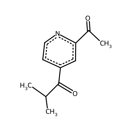 CC(=O)c1cc(C(=O)C(C)C)ccn1